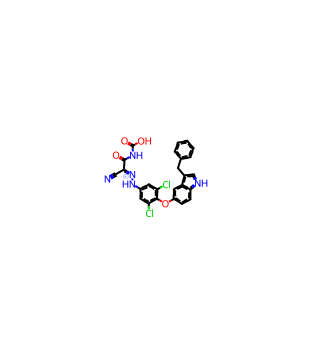 N#C/C(=N\Nc1cc(Cl)c(Oc2ccc3[nH]cc(Cc4ccccc4)c3c2)c(Cl)c1)C(=O)NC(=O)O